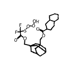 O=C(OCC12CC3CC(C1)CC(COC(=O)C(F)(F)SOOO)(C3)C2)C1CCC2CCCCC2C1